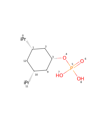 CC(C)[C@@H]1C[C@H](OP(=O)(O)O)C[C@H](C(C)C)C1